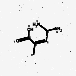 CC(=CC(N)N)C(=O)O